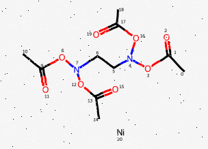 CC(=O)ON(CCN(OC(C)=O)OC(C)=O)OC(C)=O.[Ni]